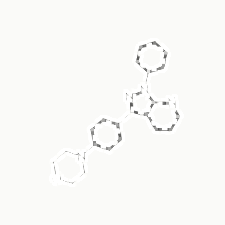 c1ccc(-n2nc(-c3ccc(N4CCOCC4)cc3)c3cccnc32)cc1